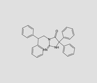 N=C1NC(c2ccccc2)(c2ccccc2)C(=O)N1CC(c1ccccc1)c1ccccc1